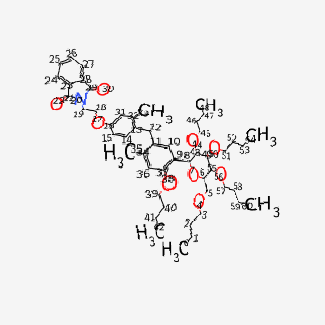 CCCCOC[C@H]1O[C@@H](c2cc(Cc3ccc(OCCN4C(=O)c5ccccc5C4=O)cc3C)c(C)cc2OCCCC)[C@H](OCCCC)[C@@H](OCCCC)[C@@H]1OCCCC